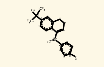 [O-][S+](C1=CCCc2cc(C(F)(C(F)(F)F)C(F)(F)F)ccc21)c1ccc(F)cc1